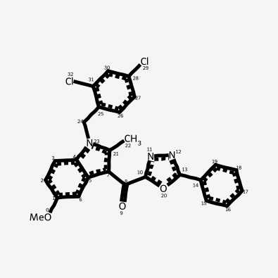 COc1ccc2c(c1)c(C(=O)c1nnc(-c3ccccc3)o1)c(C)n2Cc1ccc(Cl)cc1Cl